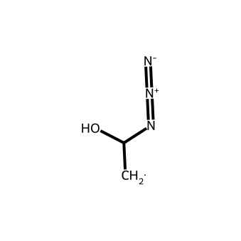 [CH2]C(O)N=[N+]=[N-]